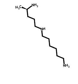 C[C@@H](N)CCCNCCCCCCN